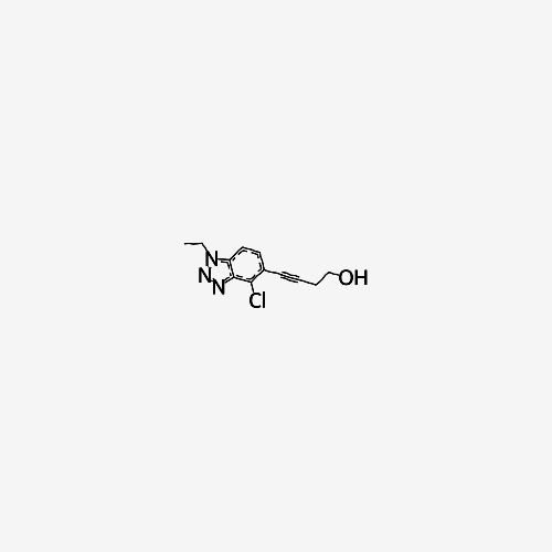 CCn1nnc2c(Cl)c(C#CCCO)ccc21